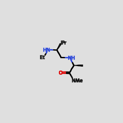 CCN[C@H](CN[C@@H](C)C(=O)NC)C(C)C